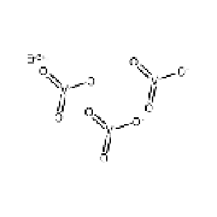 [Er+3].[O]=[V](=[O])[O-].[O]=[V](=[O])[O-].[O]=[V](=[O])[O-]